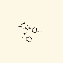 COc1ccc(-c2nn3c(C)cc(C)nc3c2CC(=O)N(C)c2ccncc2)cc1